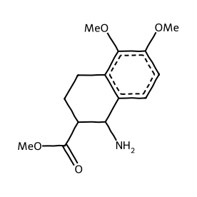 COC(=O)C1CCc2c(ccc(OC)c2OC)C1N